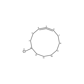 ClC1CCC=C=CCCCCCC1